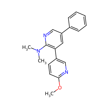 COc1ccc(-c2cc(-c3ccccc3)cnc2N(C)C)cn1